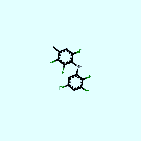 Cc1cc(F)c(Bc2cc(F)cc(F)c2F)c(F)c1F